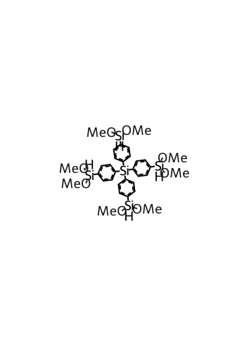 CO[SiH](OC)c1ccc([Si](c2ccc([SiH](OC)OC)cc2)(c2ccc([SiH](OC)OC)cc2)c2ccc([SiH](OC)OC)cc2)cc1